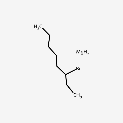 CCCCCC(Br)CC.[MgH2]